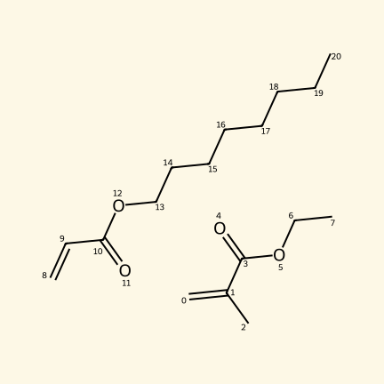 C=C(C)C(=O)OCC.C=CC(=O)OCCCCCCCC